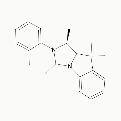 Cc1ccccc1N1C(C)N2c3ccccc3C(C)(C)C2[C@@H]1C